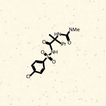 CNC(=O)NC(C)(C(=O)NS(=O)(=O)c1ccc(Cl)cc1)C(C)C